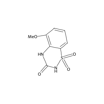 COc1cccc2c1NC(=O)NS2(=O)=O